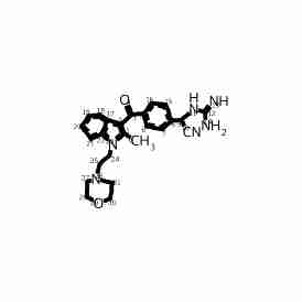 Cc1c(C(=O)c2ccc(C(C#N)NC(=N)N)cc2)c2ccccc2n1CCN1CCOCC1